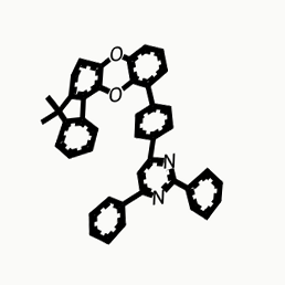 CC1(C)c2ccccc2-c2c1ccc1c2Oc2c(cccc2-c2ccc(-c3cc(-c4ccccc4)nc(-c4ccccc4)n3)cc2)O1